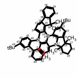 Cc1cc2c3c(c1)N1c4c(cc(C(C)(C)C)cc4C4(C)CCCCC14C)B3c1c(ccc3c1C(C)(C)c1ccccc1-3)N2c1ccc(C(C)(C)C)cc1-c1ccccc1